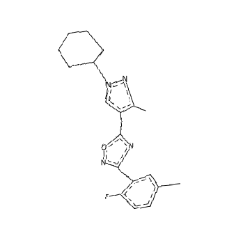 Cc1ccc(F)c(-c2noc(-c3cn(C4CCCCC4)nc3C)n2)c1